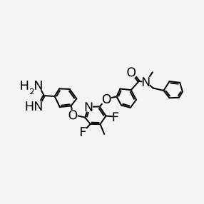 Cc1c(F)c(Oc2cccc(C(=N)N)c2)nc(Oc2cccc(C(=O)N(C)Cc3ccccc3)c2)c1F